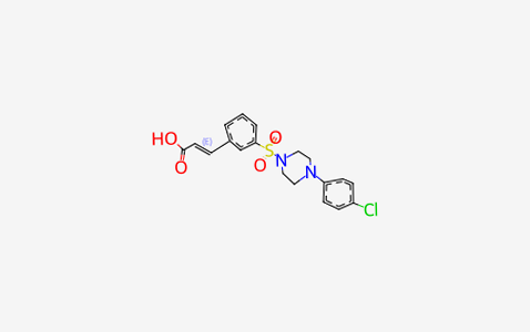 O=C(O)/C=C/c1cccc(S(=O)(=O)N2CCN(c3ccc(Cl)cc3)CC2)c1